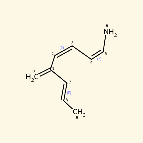 C=C(/C=C\C=C/N)/C=C/C